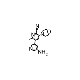 Cc1nc(C#N)c(N2CCOCC2)cc1-c1cncc(N)c1